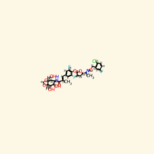 CC(=Cc1ccc(O[C@@H]2O[C@H](C(C)=NOCc3cc(F)ccc3Cl)C[C@H]2F)c(F)c1)C(=O)N[C@@H]1[C@H](O)[C@@H](O)[C@H]2OCO[C@H]2[C@@H]1O